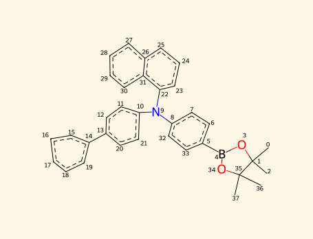 CC1(C)OB(c2ccc(N(c3ccc(-c4ccccc4)cc3)c3cccc4ccccc34)cc2)OC1(C)C